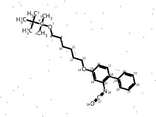 CC(C)(C)[Si](C)(C)OCCCCCCOc1ccc(-c2ccccc2)c(N=C=O)c1